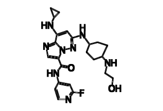 O=C(Nc1ccnc(F)c1)c1cnc2c(NC3CC3)cc(NC3CCC(NCCO)CC3)nn12